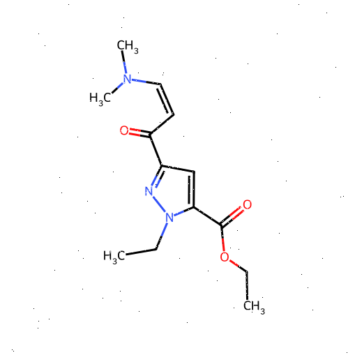 CCOC(=O)c1cc(C(=O)/C=C\N(C)C)nn1CC